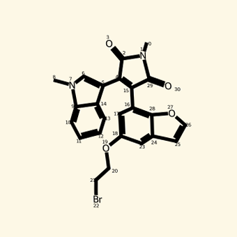 CN1C(=O)C(c2cn(C)c3ccccc23)=C(c2cc(OCCBr)cc3ccoc23)C1=O